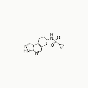 O=S(=O)(NC1CCc2c(cnc3[nH]ncc23)C1)C1CC1